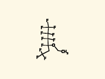 CCOC(F)(CC(F)(F)F)C(F)(F)C(F)(F)C(F)(F)F